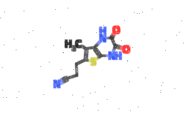 Cc1c(CCC#N)sc2[nH]c(=O)c(=O)[nH]c12